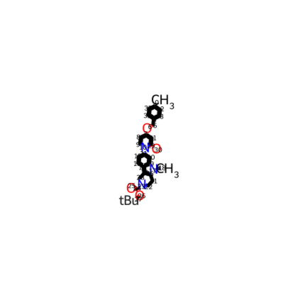 Cc1ccc(COc2ccn(-c3ccc4c5c(n(C)c4c3)CCN(C(=O)OC(C)(C)C)C5)c(=O)c2)cc1